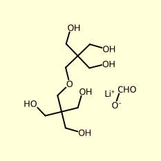 O=C[O-].OCC(CO)(CO)COCC(CO)(CO)CO.[Li+]